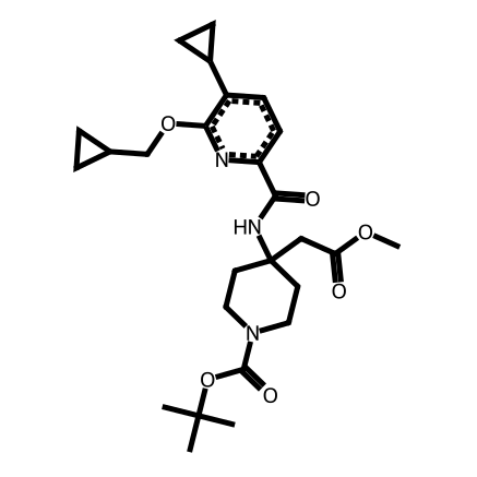 COC(=O)CC1(NC(=O)c2ccc(C3CC3)c(OCC3CC3)n2)CCN(C(=O)OC(C)(C)C)CC1